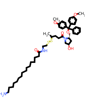 COc1ccc(C(OC[C@@H]2C[C@@H](O)CN2C(=O)CCC(C)SSCCNC(=O)CCCCCCCCCCCCCCCN)(c2ccccc2)c2ccc(OC)cc2)cc1